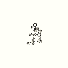 C#CS(=O)(=O)NCc1cnn(Cc2cc(OC)c3c(NS(=O)(=O)c4ccccc4F)noc3c2)c1